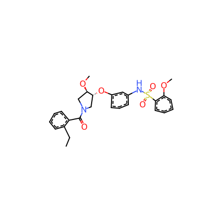 CCc1ccccc1C(=O)N1C[C@@H](OC)[C@H](Oc2cccc(NS(=O)(=O)c3ccccc3OC)c2)C1